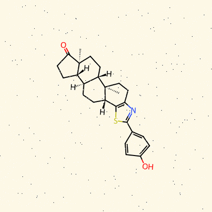 C[C@]12CCc3nc(-c4ccc(O)cc4)sc3[C@@H]1CC[C@@H]1[C@@H]2CC[C@]2(C)C(=O)CC[C@@H]12